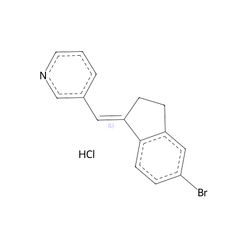 Brc1ccc2c(c1)CC/C2=C\c1cccnc1.Cl